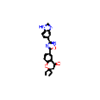 CCC1(CC)CC(=O)c2cc(-c3nc(-c4ccc5[nH]cnc5c4)no3)ccc2O1